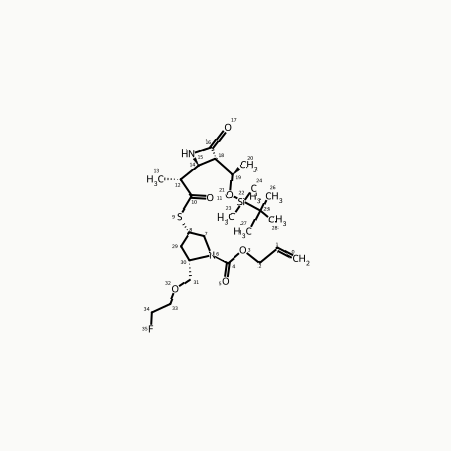 C=CCOC(=O)N1C[C@@H](SC(=O)[C@H](C)[C@H]2NC(=O)[C@@H]2[C@@H](C)O[Si](C)(C)C(C)(C)C)C[C@H]1COCCF